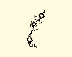 CN1CCN(CCCNc2nnc(NC(=O)c3ccc(I)cc3)s2)CC1